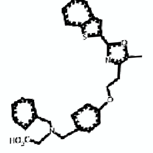 Cc1oc(-c2cc3ccccc3s2)nc1CCOc1ccc(CN(CC(=O)O)Cc2ccccc2)cc1